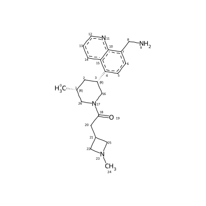 C[C@@H]1C[C@H](c2ccc(CN)c3ncccc23)CN(C(=O)CC2CN(C)C2)C1